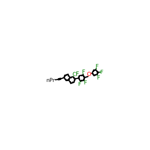 CCCC#Cc1ccc2c(Cl)c(-c3c(F)c(F)c(COc4cc(F)c(F)c(F)c4)c(F)c3F)ccc2c1